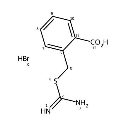 Br.N=C(N)SCc1ccccc1C(=O)O